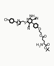 CC(C)(C)OC(=O)[C@H](N)CCC(=O)OCCOc1ccc(-c2c(C#N)c(N)nc(SCc3csc(-c4ccc(Cl)cc4)n3)c2C#N)cc1